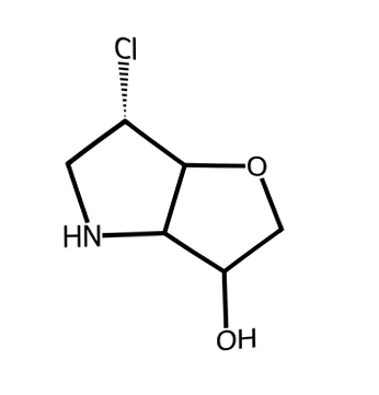 OC1COC2C1NC[C@@H]2Cl